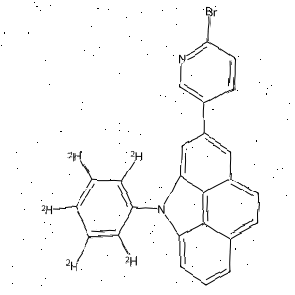 [2H]c1c([2H])c([2H])c(-n2c3cccc4ccc5cc(-c6ccc(Br)nc6)cc2c5c43)c([2H])c1[2H]